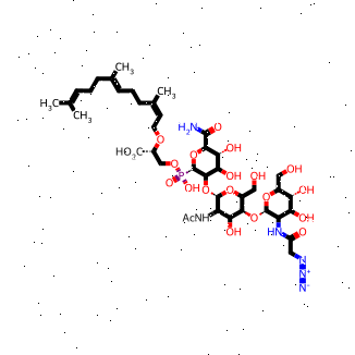 CC(=O)NC1C(O)[C@H](O[C@@H]2OC(CO)[C@H](O)C(O)C2NC(=O)CN=[N+]=[N-])C(CO)O[C@H]1OC1C(O)[C@@H](O)C(C(N)=O)O[C@H]1P(=O)(O)OC[C@@H](OC/C=C(/C)CC/C=C(\C)CCC=C(C)C)C(=O)O